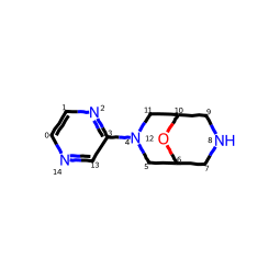 c1cnc(N2CC3CNCC(C2)O3)cn1